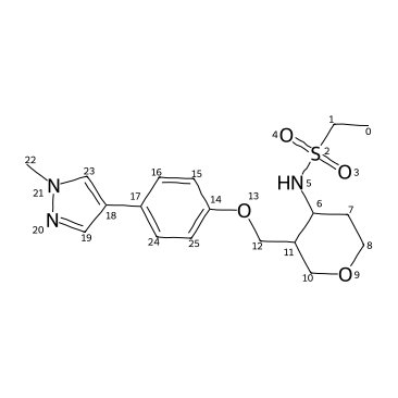 CCS(=O)(=O)NC1CCOCC1COc1ccc(-c2cnn(C)c2)cc1